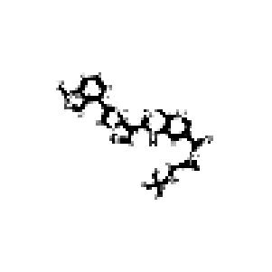 Cc1ncc(C(=O)N2CC2CNC(C)(C)C)cc1NC(=O)c1cnn2cc(-c3cccc4c3cnn4C)sc12